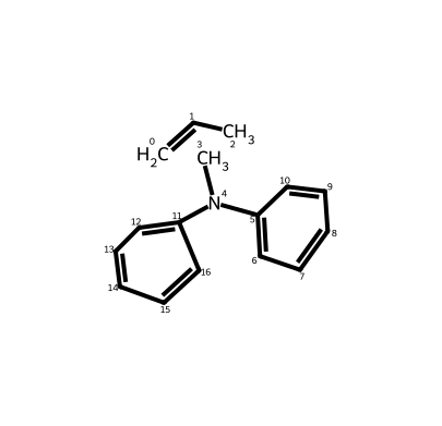 C=CC.CN(c1ccccc1)c1ccccc1